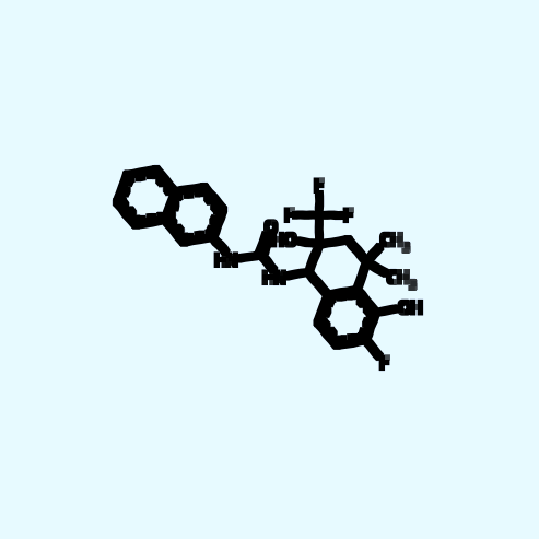 CC1(C)CC(O)(C(F)(F)F)C(NC(=O)Nc2ccc3ccccc3c2)c2ccc(F)c(O)c21